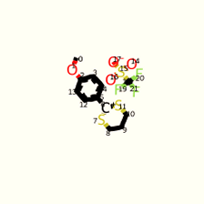 COc1ccc([C+]2SCCCS2)cc1.O=S(=O)([O-])C(F)(F)F